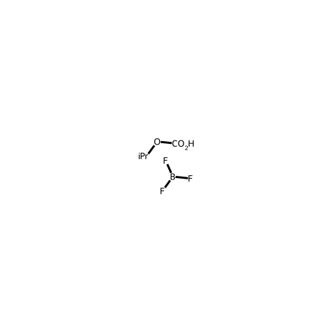 CC(C)OC(=O)O.FB(F)F